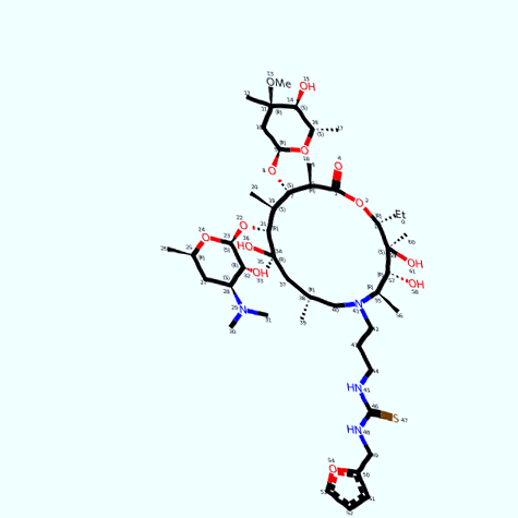 CC[C@H]1OC(=O)[C@H](C)[C@@H](O[C@H]2C[C@@](C)(OC)[C@@H](O)[C@H](C)O2)[C@H](C)[C@@H](O[C@@H]2O[C@H](C)C[C@H](N(C)C)[C@H]2O)[C@](C)(O)C[C@@H](C)CN(CCCNC(=S)NCc2ccco2)[C@H](C)[C@@H](O)[C@]1(C)O